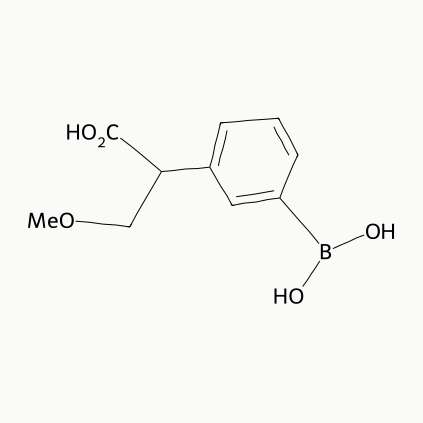 COCC(C(=O)O)c1cccc(B(O)O)c1